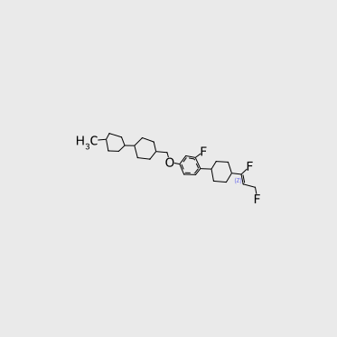 CC1CCC(C2CCC(COc3ccc(C4CCC(/C(F)=C/CF)CC4)c(F)c3)CC2)CC1